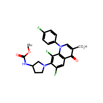 CC(C)(C)OC(=O)NC1CCN(c2c(F)cc3c(=O)c(C(=O)O)cn(-c4ccc(F)cc4)c3c2F)C1